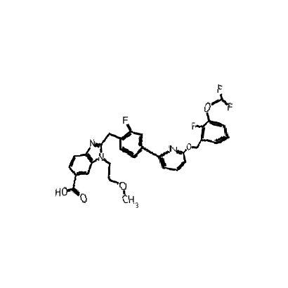 COCCn1c(Cc2ccc(-c3cccc(OCc4cccc(OC(F)F)c4F)n3)cc2F)nc2ccc(C(=O)O)cc21